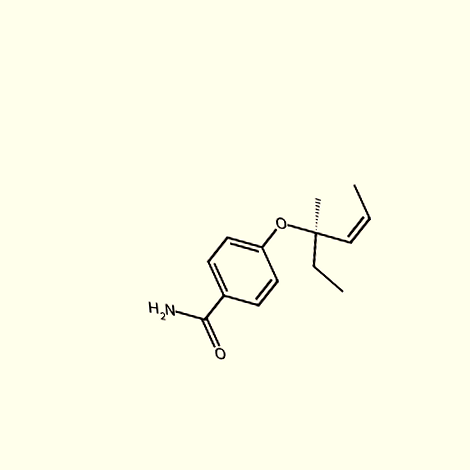 C/C=C\[C@@](C)(CC)Oc1ccc(C(N)=O)cc1